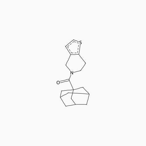 O=C(N1CCc2sccc2C1)C12CC3CC(CC(C3)C1)C2